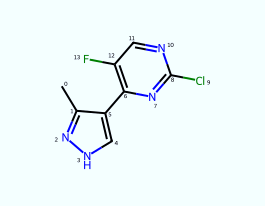 Cc1n[nH]cc1-c1nc(Cl)ncc1F